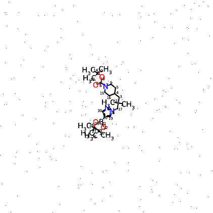 CC(C)(CC1CCN(C(=O)OC(C)(C)C)CC1)Cn1cc(B2OC(C)(C)C(C)(C)O2)cn1